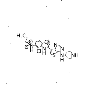 CCCS(=O)(=O)Nc1ccc(Cl)c(NC(=O)c2csc3c(NC4CCNCC4)ncnc23)c1Cl